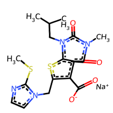 CSc1nccn1Cc1sc2c(c1C(=O)[O-])c(=O)n(C)c(=O)n2CC(C)C.[Na+]